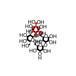 OC[C@H]1O[C@H](O[C@@H]2[C@H](O)[C@@H](O)O[C@H](CO[C@H]3O[C@H](CO)[C@@H](O)[C@H](O)[C@@H]3O[C@H]3O[C@H](CO)[C@@H](O)[C@H](O)[C@@H]3O[C@H]3O[C@H](CO)[C@@H](O)[C@H](O)[C@@H]3O)[C@H]2O)[C@@H](O)[C@@H](O)[C@@H]1O